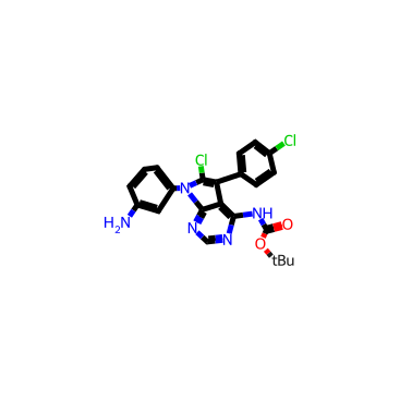 CC(C)(C)OC(=O)Nc1ncnc2c1c(-c1ccc(Cl)cc1)c(Cl)n2-c1cccc(N)c1